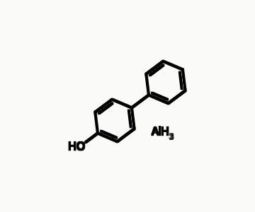 Oc1ccc(-c2ccccc2)cc1.[AlH3]